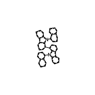 c1ccc2c(-n3c4ccccc4c4cccc(-c5cccc6c7ccccc7n(-c7cccc8ccccc78)c56)c43)cccc2c1